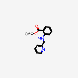 O=COC(=O)c1ccccc1NCc1ccccn1